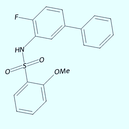 COc1ccccc1S(=O)(=O)Nc1cc(-c2ccccc2)ccc1F